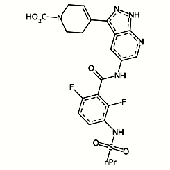 CCCS(=O)(=O)Nc1ccc(F)c(C(=O)Nc2cnc3[nH]nc(C4=CCN(C(=O)O)CC4)c3c2)c1F